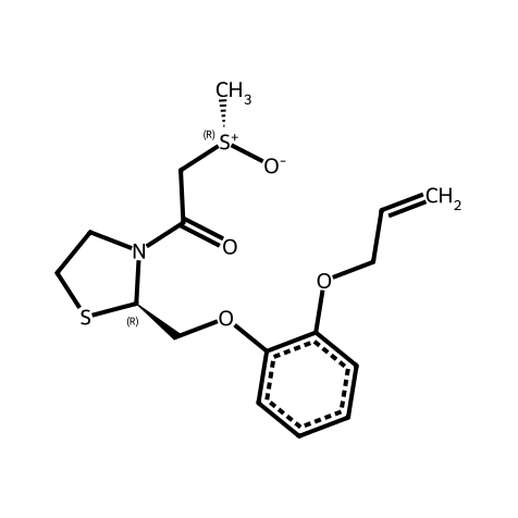 C=CCOc1ccccc1OC[C@H]1SCCN1C(=O)C[S@+](C)[O-]